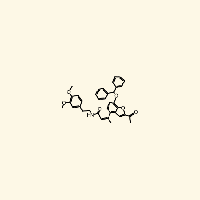 COc1ccc(CCNC(=O)/C=C(/C)c2ccc(OC(c3ccccc3)c3ccccc3)c3oc(C(C)=O)cc23)cc1OC